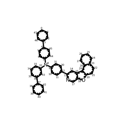 c1ccc(-c2ccc(N(c3ccc(-c4cc5c(cn4)oc4ccc6ccccc6c45)cc3)c3cccc(-c4ccccc4)c3)cc2)cc1